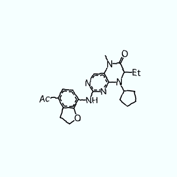 CCC1C(=O)N(C)c2cnc(Nc3ccc(C(C)=O)c4c3OCC4)nc2N1C1CCCC1